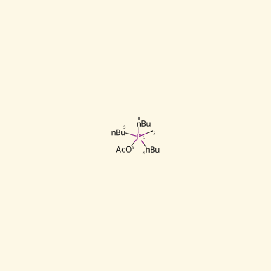 CCCCP(C)(CCCC)(CCCC)OC(C)=O